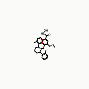 COCc1cc(C(=O)NO)ccc1CN1C(c2ncccc2C)CCCC1c1ncccc1C